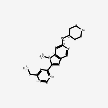 CCc1cc(-c2cc3cnc(NC4CCOCC4)cc3n2C)ncn1